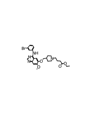 CCOC(=O)CCCN1CCC(COc2cc3c(Nc4cccc(Br)c4)ncnc3cc2OC)CC1